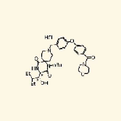 CCCCN1C(=O)[C@@H]([C@H](O)C(CC)CC)NC(=O)C12CCN(Cc1ccc(Oc3ccc(C(=O)N4CCOCC4)cc3)cc1)CC2.Cl